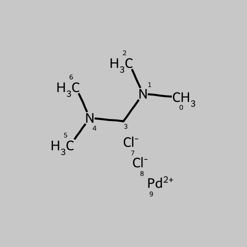 CN(C)CN(C)C.[Cl-].[Cl-].[Pd+2]